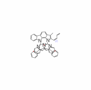 C=C/C=C\c1c(C)c2ccc3c4ccccc4n(-c4nc(-c5ccccc5)cc(-c5ccccc5)n4)c3c2n1-c1nc(-c2ccccc2)cc(-c2ccccc2)n1